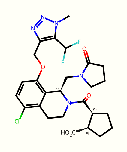 Cn1nnc(COc2ccc(Cl)c3c2[C@@H](CN2CCCC2=O)N(C(=O)[C@H]2CCC[C@H]2C(=O)O)CC3)c1C(F)F